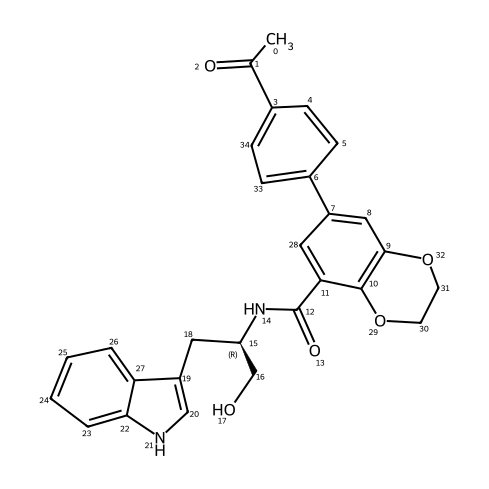 CC(=O)c1ccc(-c2cc3c(c(C(=O)N[C@@H](CO)Cc4c[nH]c5ccccc45)c2)OCCO3)cc1